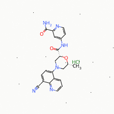 C[C@@H]1CN(c2ccc(C#N)c3ncccc23)C[C@H](C(=O)Nc2ccnc(C(N)=O)c2)O1.Cl